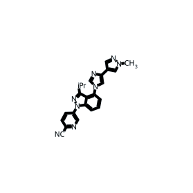 CC(C)c1nn(-c2ccc(C#N)nc2)c2cccc(-n3cnc(-c4cnn(C)c4)c3)c12